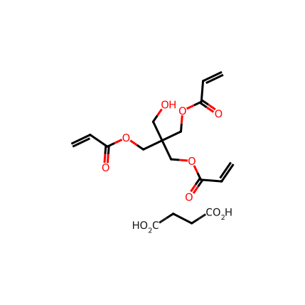 C=CC(=O)OCC(CO)(COC(=O)C=C)COC(=O)C=C.O=C(O)CCC(=O)O